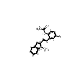 CC(=O)Oc1ccc(F)cc1/C=C/c1cc2ccccc2n1C